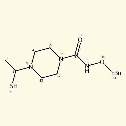 CC(S)N1CCN(C(=O)NOC(C)(C)C)CC1